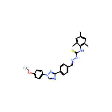 Cc1cc(C)c(NC(=S)N/N=C/c2ccc(-c3ncn(-c4ccc(OC(F)(F)F)cc4)n3)cc2)c(C)c1